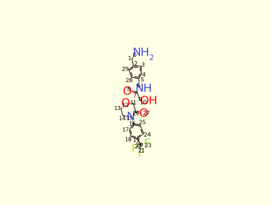 NCc1ccc(NC(=O)C(O)[C@H]2OCCN(c3ccc(C(F)(F)F)cc3)C2=O)cc1